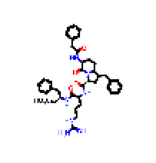 N=C(N)NCCCC(NC(=O)[C@@H]1CC(Cc2ccccc2)C2CCC(NC(=O)Cc3ccccc3)C(=O)N21)C(=O)N[C@@H](CC(=O)O)Cc1ccccc1